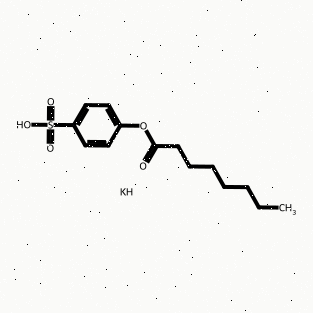 CCCCCCCC(=O)Oc1ccc(S(=O)(=O)O)cc1.[KH]